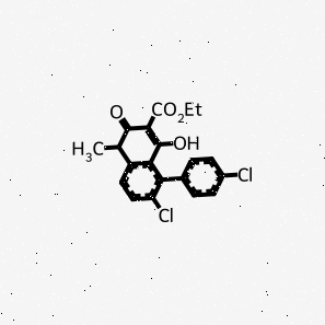 CCOC(=O)C1=C(O)c2c(ccc(Cl)c2-c2ccc(Cl)cc2)C(C)C1=O